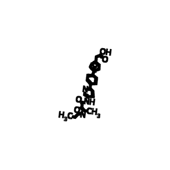 CCc1nc(C)c(C(=O)Nc2ccc(-c3ccc(C45CCC(CC(=O)O)(CC4)OC5)cc3)nc2)o1